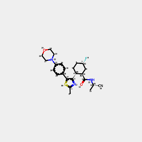 Cc1nc([C@@H]2CC[C@H](F)C[C@H]2C(=O)N[C@@H](C)C#N)c(-c2ccc(N3CCOCC3)cc2)s1